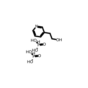 O=[PH](O)O.O=[PH](O)O.OCCc1cccnc1